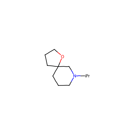 CC(C)N1CCCC2(CCCO2)C1